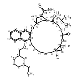 CCN1CCOC(COc2c3c(nc4ccccc24)O[C@@H]2C[C@@H](C(N)=O)N(C2)C(=O)[C@H](C(C)(C)C)NC(=O)O[C@@H]2C[C@H]2CCCCC3)C1